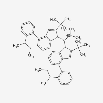 CCC(C)c1ccccc1-c1cccc2c1C=C(C(C)(C)C)[CH]2[Zr]([CH]1C(C(C)(C)C)=Cc2c(-c3ccccc3C(C)CC)cccc21)[SiH](C)C